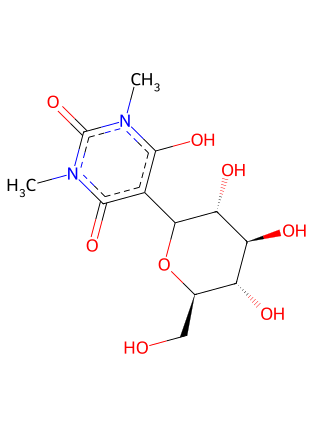 Cn1c(O)c(C2O[C@H](CO)[C@@H](O)[C@H](O)[C@H]2O)c(=O)n(C)c1=O